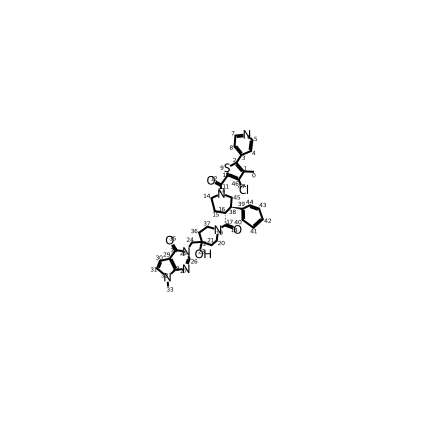 Cc1c(-c2ccncc2)sc(C(=O)N2CC[C@@H](C(=O)N3CCC(O)(Cn4cnc5c(ccn5C)c4=O)CC3)[C@H](c3ccccc3)C2)c1Cl